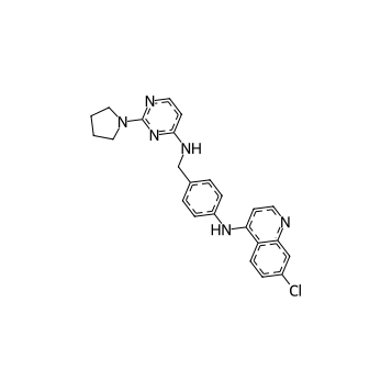 Clc1ccc2c(Nc3ccc(CNc4ccnc(N5CCCC5)n4)cc3)ccnc2c1